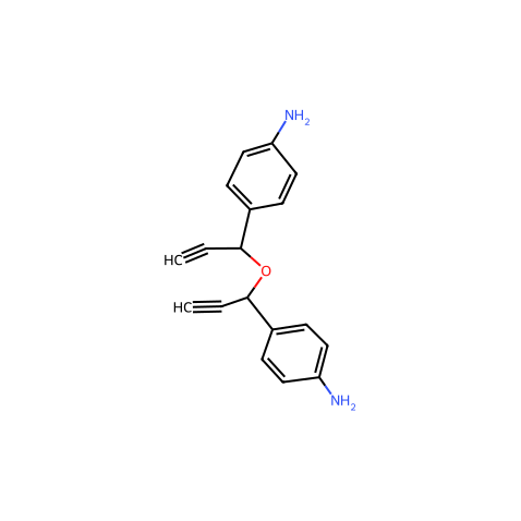 C#CC(OC(C#C)c1ccc(N)cc1)c1ccc(N)cc1